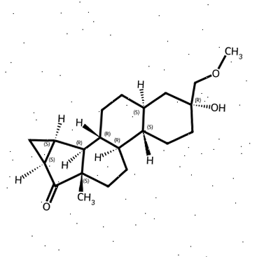 COC[C@@]1(O)CC[C@H]2[C@@H](CC[C@@H]3[C@@H]2CC[C@]2(C)C(=O)[C@H]4C[C@H]4[C@@H]32)C1